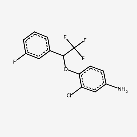 Nc1ccc(OC(c2cccc(F)c2)C(F)(F)F)c(Cl)c1